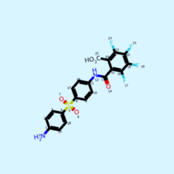 Nc1ccc(S(=O)(=O)c2ccc(NC(=O)c3c(F)c(F)c(F)c(F)c3C(=O)O)cc2)cc1